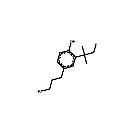 CCC(C)(C)c1cc(CCCO)ccc1O